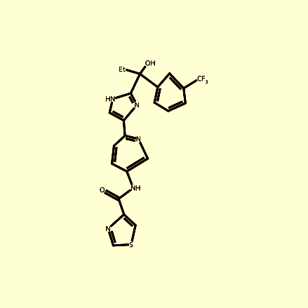 CCC(O)(c1cccc(C(F)(F)F)c1)c1nc(-c2ccc(NC(=O)c3cscn3)cn2)c[nH]1